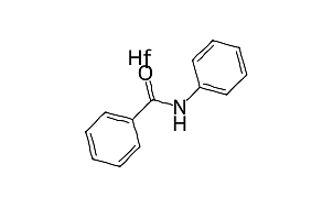 O=C(Nc1ccccc1)c1ccccc1.[Hf]